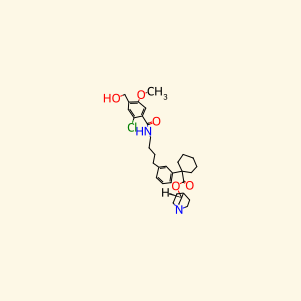 COc1cc(C(=O)NCCCCc2cccc(C3(C(=O)O[C@H]4CN5CCC4CC5)CCCCC3)c2)c(Cl)cc1CO